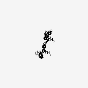 CN1C[C@H](Nc2nc3sccn3c(=O)c2Br)C[C@H](c2ccc(OCCCN(C)c3cccc4c3C(=O)N(C3CCC(=O)NC3=O)C4=O)cc2)C1